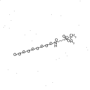 CC(C)C1CC(=O)N(CCCCCC(=O)NCCOCCOCCOCCOCCOCCOCCOCCOCC=O)C1=O